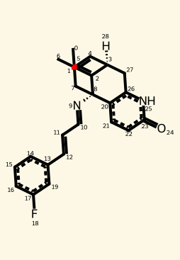 C/C=C1\[C@H]2C=C(C)C[C@]1(/N=C/C=C/c1cccc(F)c1)c1ccc(=O)[nH]c1C2